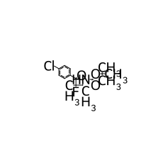 CC(NC(=O)OC(C)(C)C)C(C)(F)C(=O)c1ccc(Cl)cc1